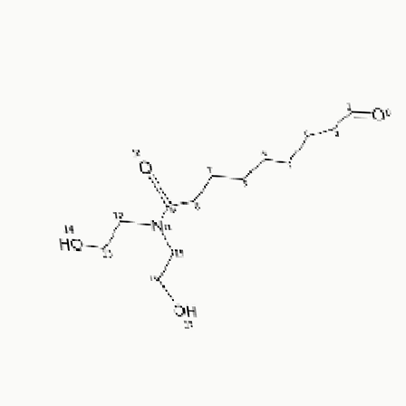 O=CCCCCCCCC(=O)N(CCO)CCO